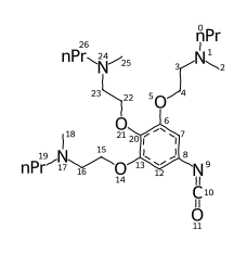 CCCN(C)CCOc1cc(N=C=O)cc(OCCN(C)CCC)c1OCCN(C)CCC